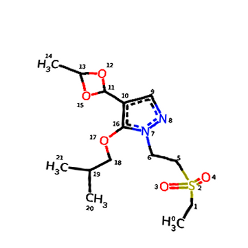 CCS(=O)(=O)CCn1ncc(C2OC(C)O2)c1OCC(C)C